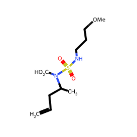 C=CCC(C)N(C(=O)O)S(=O)(=O)NCCCOC